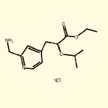 CCOC(=O)C(Cc1ccnc(CN)c1)OC(C)C.Cl